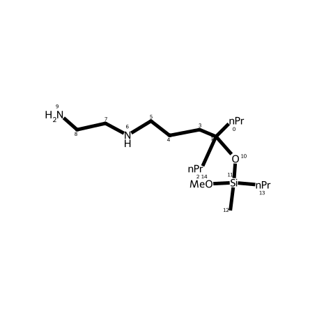 CCCC(CCC)(CCCNCCN)O[Si](C)(CCC)OC